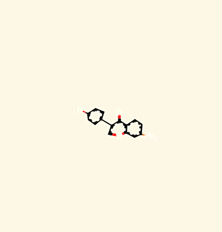 O=c1c(-c2ccc(O)cc2)coc2cc(P)ccc12